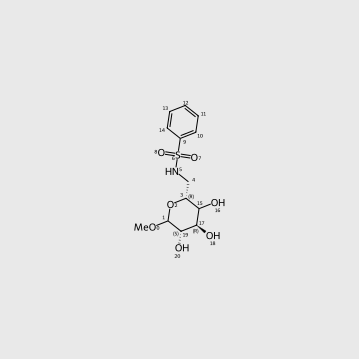 COC1O[C@H](CNS(=O)(=O)c2ccccc2)C(O)[C@@H](O)[C@@H]1O